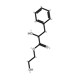 O=C(OCCO)C(O)Cc1ccccc1